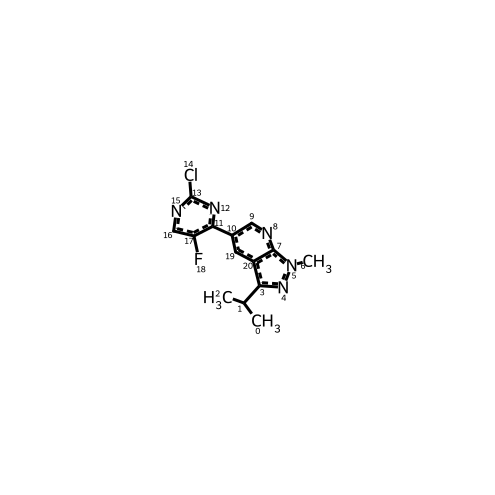 CC(C)c1nn(C)c2ncc(-c3nc(Cl)ncc3F)cc12